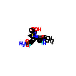 CCc1sc(-n2nc(-c3ccc(F)c(C(=O)NC(C)(C)C)c3)c(Cc3ccc(S(N)(=O)=O)c(F)c3)c2CC2CC2)nc1C(=O)O